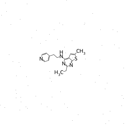 CCc1nc(NCCc2ccncc2)c2cc(C)sc2n1